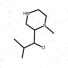 CC(C)C(Cl)C1CNCCN1C